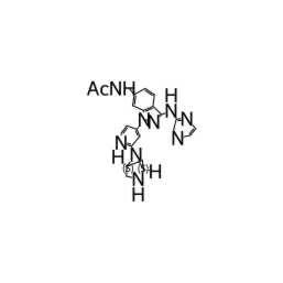 CC(=O)Nc1ccc2c(Nc3cnccn3)nn(-c3ccnc(N4C[C@@H]5C[C@H]4CN5)c3)c2c1